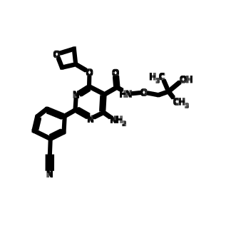 CC(C)(O)CONC(=O)c1c(N)nc(-c2cccc(C#N)c2)nc1OC1COC1